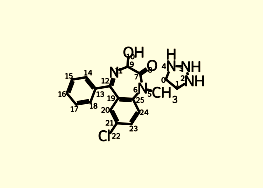 C1CNNN1.CN1C(=O)C(O)N=C(c2ccccc2)c2cc(Cl)ccc21